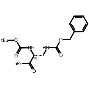 CCCC(=O)[C@@H](CNC(=O)OCc1ccccc1)NC(=O)OC(C)(C)C